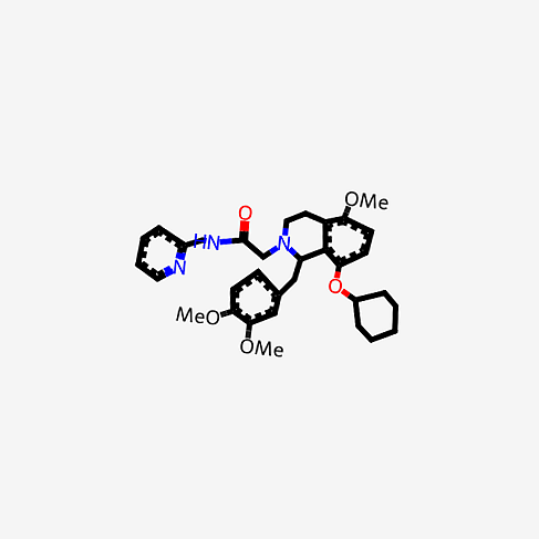 COc1ccc(CC2c3c(OC4CCCCC4)ccc(OC)c3CCN2CC(=O)NCc2ccccn2)cc1OC